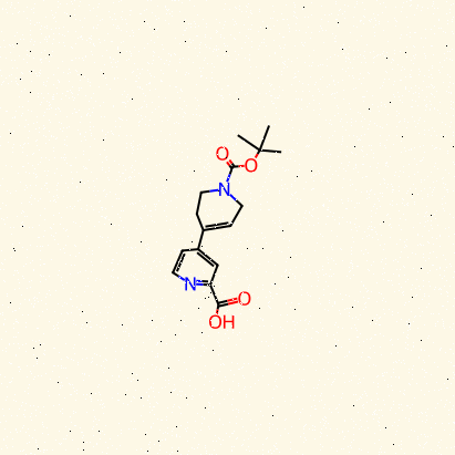 CC(C)(C)OC(=O)N1CC=C(c2ccnc(C(=O)O)c2)CC1